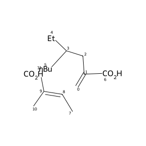 C=C(CC(CC)CCCC)C(=O)O.CC=C(C)C(=O)O